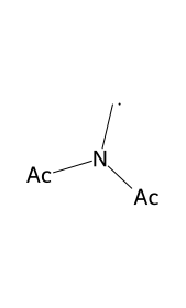 [CH2]N(C(C)=O)C(C)=O